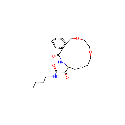 CCCCNC(=O)C(=O)[C@@H]1CCCCOCCOCc2ccccc2C(=O)N1